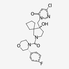 O=C(N1CC[C@@](O)(Cn2cnc(Cl)cc2=O)C2(CCCC2)C1)N1CCOC[C@H]1c1ccc(F)cc1